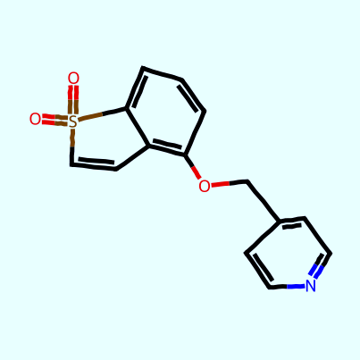 O=S1(=O)C=Cc2c(OCc3ccncc3)cccc21